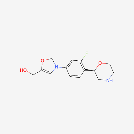 OCC1=CN(c2ccc([C@@H]3CNCCO3)c(F)c2)CO1